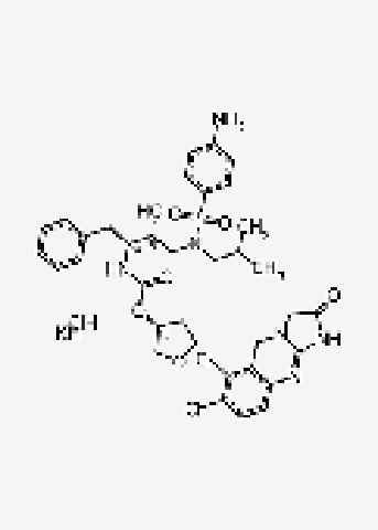 CC(C)CN(C[C@@H](O)[C@H](Cc1ccccc1)NC(=O)O[C@H]1CCOC1)S(=O)(=O)c1ccc(N)cc1.Cl.O=C1CN2Cc3c(ccc(Cl)c3Cl)N=C2N1.[KH]